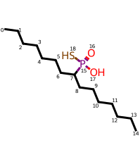 CCCCCCCC(CCCCCCC)P(=O)(O)S